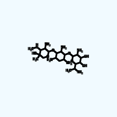 CNC1C(N)C(OC2C(N)CC(N)C(OC3OC(C(C)N)C(O)C(O)C3N)C2N)OCC1(C)O